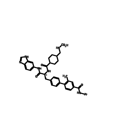 Cc1cc(C(=O)NC(C)C)ccc1-c1ccc(C[C@H](NC(=O)C2CCC(CNC(=O)O)CC2)C(=O)Nc2ccc3nc[nH]c3c2)cc1